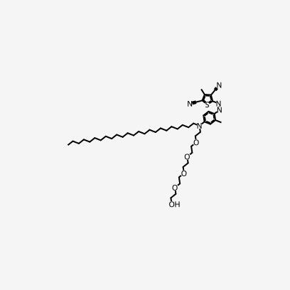 CCCCCCCCCCCCCCCCCCCCCCCCN(CCOCCOCCOCCOCCO)c1ccc(/N=N\c2sc(C#N)c(C)c2C#N)c(C)c1